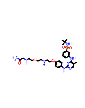 Cc1cnc(Nc2ccc(OCCNCCOCCNCC(N)=O)cc2)nc1Nc1cccc(S(=O)(=O)NC(C)(C)C)c1